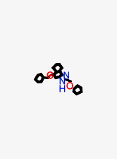 c1ccc(COc2cc3[nH]c(COc4ccccc4)nc3c3ccccc23)cc1